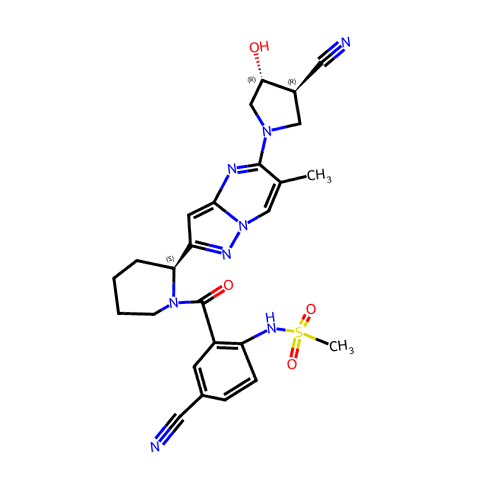 Cc1cn2nc([C@@H]3CCCCN3C(=O)c3cc(C#N)ccc3NS(C)(=O)=O)cc2nc1N1C[C@H](O)[C@@H](C#N)C1